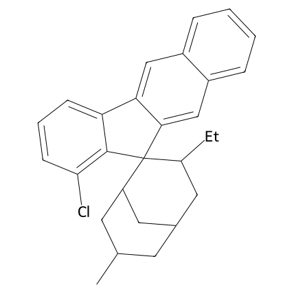 CCC1CC2CC(C)CC(C2)C12c1cc3ccccc3cc1-c1cccc(Cl)c12